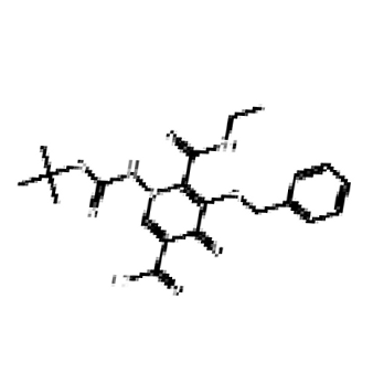 CCNC(=O)c1c(OCc2ccccc2)c(=O)c(C(=O)O)cn1NC(=O)OC(C)(C)C